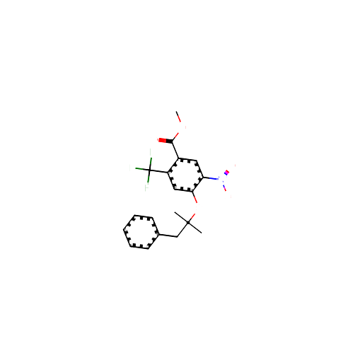 COC(=O)c1cc([N+](=O)[O-])c(OC(C)(C)Cc2ccccc2)cc1C(F)(F)F